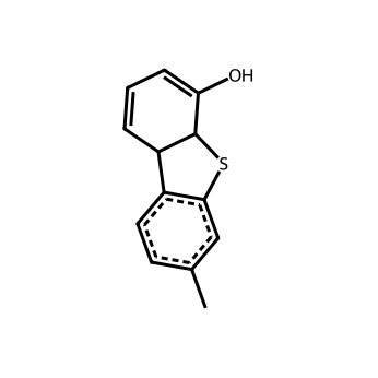 Cc1ccc2c(c1)SC1C(O)=CC=CC21